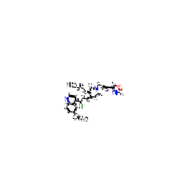 COc1ccc2nccc(C(F)CC[C@@H]3CCN(CC#Cc4cocn4)C[C@@H]3CC(=O)O)c2c1